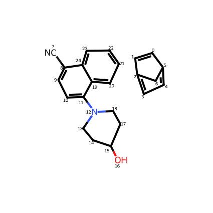 C1=CC2=CC=C1C2.N#Cc1ccc(N2CCC(O)CC2)c2ccccc12